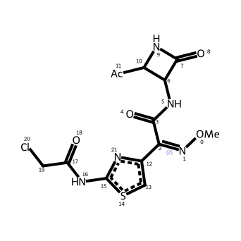 CO/N=C(\C(=O)NC1C(=O)NC1C(C)=O)c1csc(NC(=O)CCl)n1